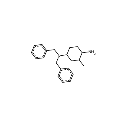 CC1CC(N(Cc2ccccc2)Cc2ccccc2)CCC1N